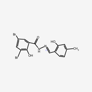 Cc1ccc(/C=N/NC(=O)c2cc(Br)cc(Br)c2O)c(O)c1